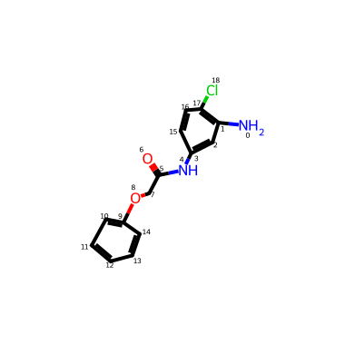 Nc1cc(NC(=O)COc2ccccc2)ccc1Cl